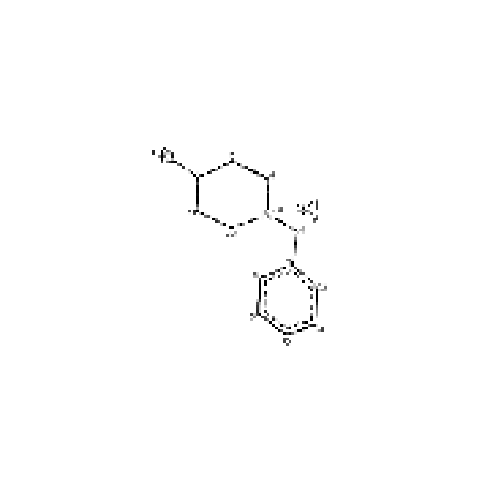 Cl.OC1CCN(Cc2ccccc2)CC1